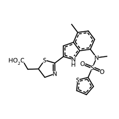 Cc1ccc(N(C)S(=O)(=O)c2cccs2)c2[nH]c(C3=NCC(CC(=O)O)S3)cc12